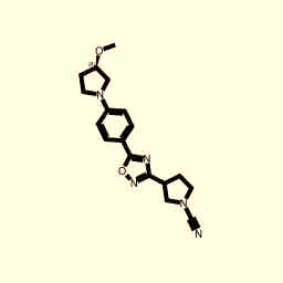 CO[C@@H]1CCN(c2ccc(-c3nc(C4CCN(C#N)C4)no3)cc2)C1